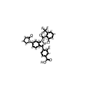 O=C(O)c1ccc(-c2nn(C(=O)c3c(Cl)cccc3C(F)(F)F)c3cc(N4CCCC4=O)ccc23)c(F)c1